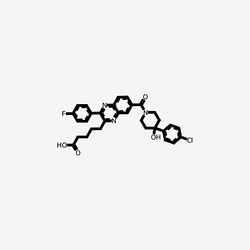 O=C(O)CCCCc1nc2cc(C(=O)N3CCC(O)(c4ccc(Cl)cc4)CC3)ccc2nc1-c1ccc(F)cc1